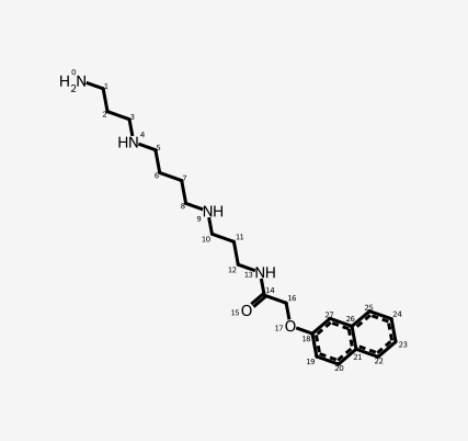 NCCCNCCCCNCCCNC(=O)COc1ccc2ccccc2c1